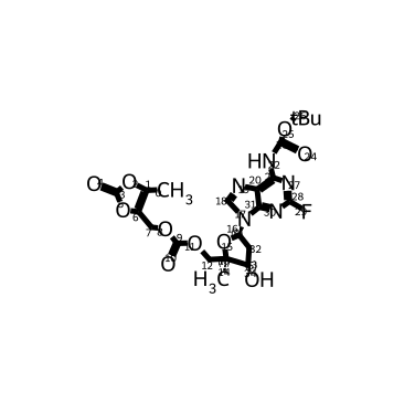 Cc1oc(=O)oc1COC(=O)OC[C@@]1(C)O[C@@H](n2cnc3c(NC(=O)OC(C)(C)C)nc(F)nc32)C[C@@H]1O